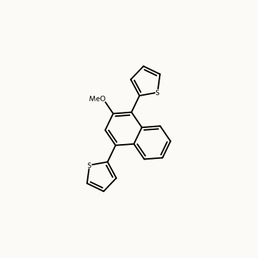 COc1cc(-c2cccs2)c2ccccc2c1-c1cccs1